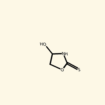 OC1COC(=S)N1